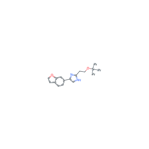 CC(C)[Si](OCCc1nc(-c2ccc3ccoc3c2)c[nH]1)(C(C)C)C(C)C